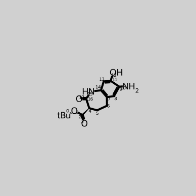 CC(C)(C)OC(=O)[C@@H]1CCc2cc(N)c(O)cc2NC1=O